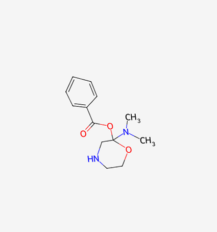 CN(C)C1(OC(=O)c2ccccc2)CNCCO1